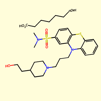 CCCCCCCCCCCCCCCC(=O)O.CN(C)S(=O)(=O)c1ccc2c(c1)N(CCCN1CCC(CCO)CC1)c1ccccc1S2